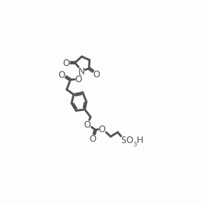 O=C(Cc1ccc(COC(=O)OCCS(=O)(=O)O)cc1)ON1C(=O)CCC1=O